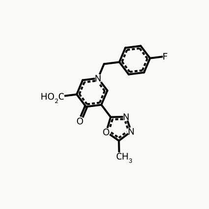 Cc1nnc(-c2cn(Cc3ccc(F)cc3)cc(C(=O)O)c2=O)o1